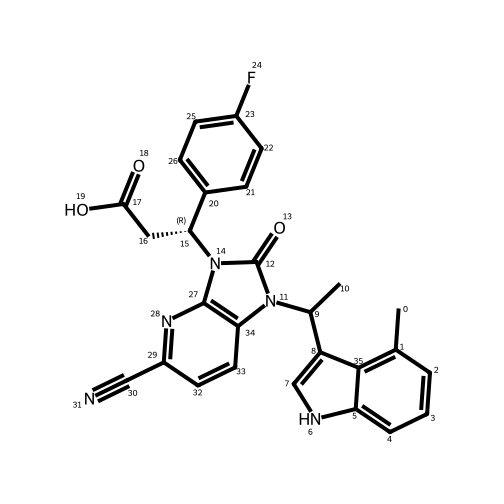 Cc1cccc2[nH]cc(C(C)n3c(=O)n([C@H](CC(=O)O)c4ccc(F)cc4)c4nc(C#N)ccc43)c12